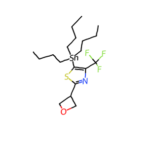 CCC[CH2][Sn]([CH2]CCC)([CH2]CCC)[c]1sc(C2COC2)nc1C(F)(F)F